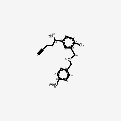 C#CCCC(c1ccc(Cl)c(COCc2ccc(OC)cc2)c1)C(C)(C)C